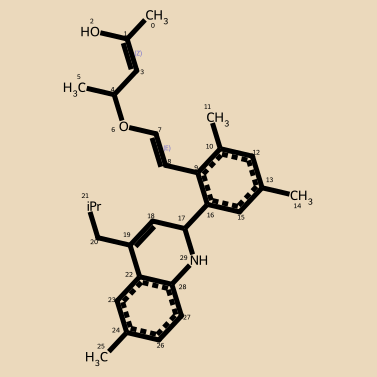 C/C(O)=C/C(C)O/C=C/c1c(C)cc(C)cc1C1C=C(CC(C)C)c2cc(C)ccc2N1